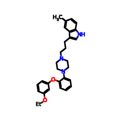 CCOc1cccc(Oc2ccccc2N2CCN(CCCc3c[nH]c4ccc(C)cc34)CC2)c1